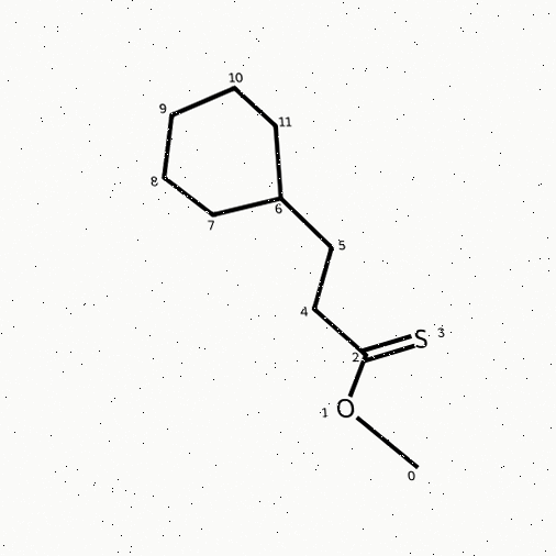 COC(=S)CCC1CCCCC1